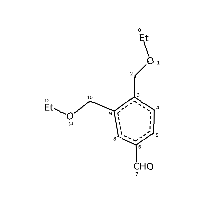 CCOCc1ccc(C=O)cc1COCC